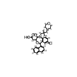 CC(C)(CN1CCOCC1)CN1C(=O)C(CC(=O)O)OC(c2cccc3ccccc23)c2cc(Cl)ccc21